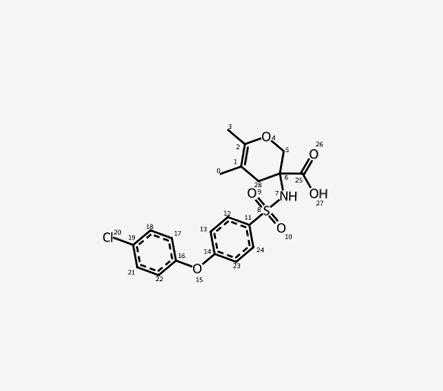 CC1=C(C)OCC(NS(=O)(=O)c2ccc(Oc3ccc(Cl)cc3)cc2)(C(=O)O)C1